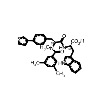 Cc1cc(C)cc(C(=O)N(C)[C@@H](Cc2ccc(-c3ccsc3)cc2)C(=O)N[C@@H](Cc2c[nH]c3ccccc23)C(=O)O)c1